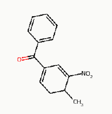 CC1CC=C(C(=O)c2ccccc2)C=C1[N+](=O)[O-]